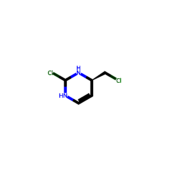 ClC[C@H]1C=CNC(Cl)N1